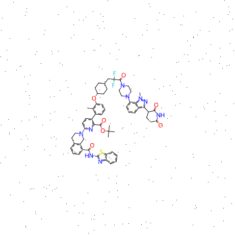 Cc1c(OC2CCC(CC(F)(F)C(=O)N3CCN(c4cccc5c(C6CCC(=O)NC6=O)nn(C)c45)CC3)CC2)cccc1-c1ccc(N2CCc3cccc(C(=O)Nc4nc5ccccc5s4)c3C2)nc1C(=O)OC(C)(C)C